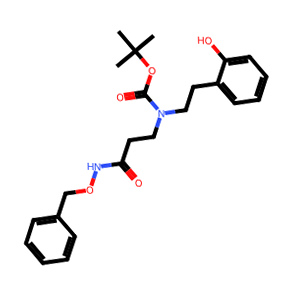 CC(C)(C)OC(=O)N(CCC(=O)NOCc1ccccc1)CCc1ccccc1O